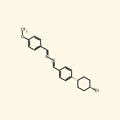 CC[C@H]1CC[C@H](c2ccc(C=NN=Cc3ccc(OC(F)(F)F)cc3)cc2)CC1